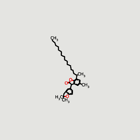 CCCCCCCCCCCCCCCCC(C)c1cc(C)cc2c1OC(=O)C2c1ccc2c(c1)CC(C)(C)O2